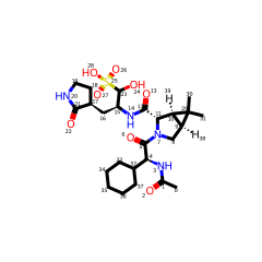 CC(=O)N[C@H](C(=O)N1C[C@H]2[C@@H]([C@H]1C(=O)N[C@@H](C[C@@H]1CCNC1=O)C(O)S(=O)(=O)O)C2(C)C)C1CCCCC1